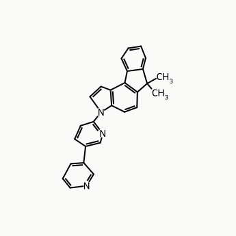 CC1(C)c2ccccc2-c2c1ccc1c2ccn1-c1ccc(-c2cccnc2)cn1